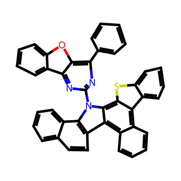 c1ccc(-c2nc(-n3c4c5ccccc5ccc4c4c5ccccc5c5c6ccccc6sc5c43)nc3c2oc2ccccc23)cc1